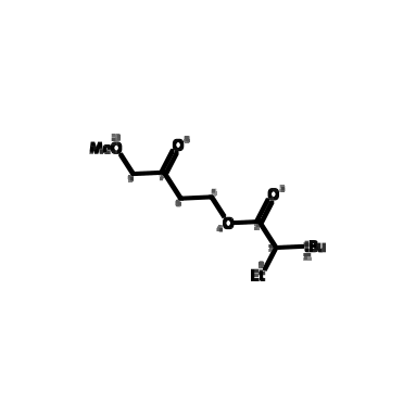 CCC(C(=O)OCCC(=O)COC)C(C)(C)C